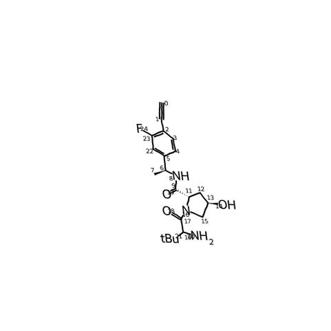 C#Cc1ccc([C@H](C)NC(=O)[C@@H]2C[C@@H](O)CN2C(=O)C(N)C(C)(C)C)cc1F